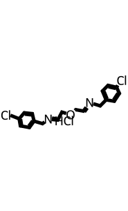 Cl.Clc1ccc(CN=CCOCC=NCc2ccc(Cl)cc2)cc1